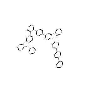 c1ccc(-c2ccc(-c3ccc(-n4c5ccccc5c5cc(-c6ccc(-c7ccccc7-c7ccc8c(c7)c7ccccc7n8-c7ccccc7)cc6)ccc54)cc3)cc2)cc1